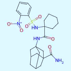 NC(=O)C12CC3CC(CC(NC(=O)C4(NS(=O)(=O)c5ccccc5[N+](=O)[O-])CCCCC4)(C3)C1)C2